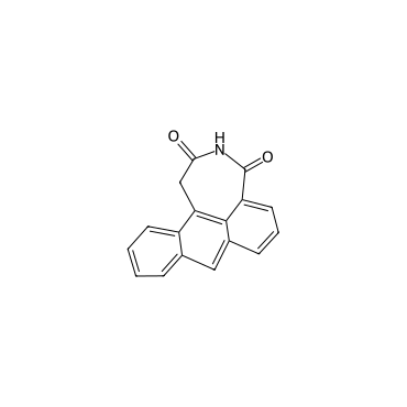 O=C1Cc2c3ccccc3cc3cccc(c23)C(=O)N1